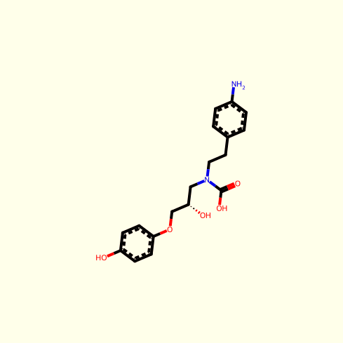 Nc1ccc(CCN(C[C@H](O)COc2ccc(O)cc2)C(=O)O)cc1